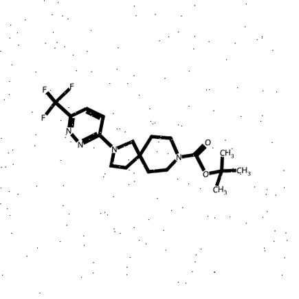 CC(C)(C)OC(=O)N1CCC2(CC1)CCN(c1ccc(C(F)(F)F)nn1)C2